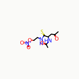 CC(=O)CC(NC(C)=O)C(=S)NCCO[N+](=O)[O-]